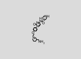 NCC1CCCN(CCOc2ccc(-n3ccc(NC(=O)N4CCNCC4)nc3=O)cc2)C1